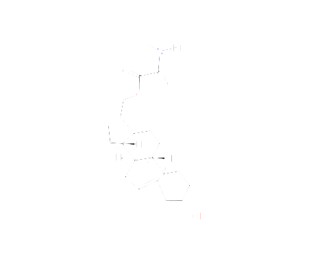 CCN(C)C(=O)C(=O)O[C@@H](C)[C@H]1CC[C@H]2[C@@H]3CC=C4C[C@@H](O)CC[C@]4(C)[C@H]3CC[C@]12C